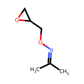 CC(C)=NOCC1CO1